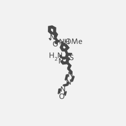 COc1cc(-c2csc3c(C=CCN4CCN(CCN5CCOCC5)CC4)cnc(N)c23)ccc1NC(=O)c1cc2ccccc2n1C